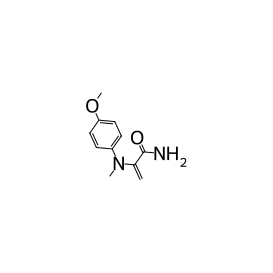 C=C(C(N)=O)N(C)c1ccc(OC)cc1